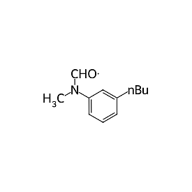 CCCCc1cccc(N(C)[C]=O)c1